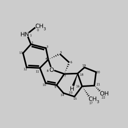 CNC1=C[C@@]23CC[C@@]4(O2)C(=CC3=CC1)CC[C@@]1(C)[C@H]4CC[C@@H]1O